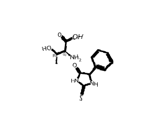 C[C@@H](O)[C@H](N)C(=O)O.O=C1NC(=S)NC1c1ccccc1